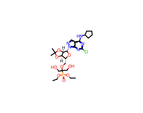 CCOP(=O)(OCC)C(CO)(CO)OC[C@H]1O[C@@H](n2ncc3c(NC4CCCC4)nc(Cl)nc32)[C@@H]2OC(C)(C)O[C@@H]21